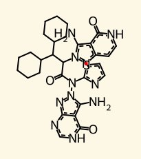 Nc1c2c(=O)[nH]ccc2nn1C(C(=O)N(c1nccs1)n1nc2nc[nH]c(=O)c2c1N)C(C1CCCCC1)C1CCCCC1